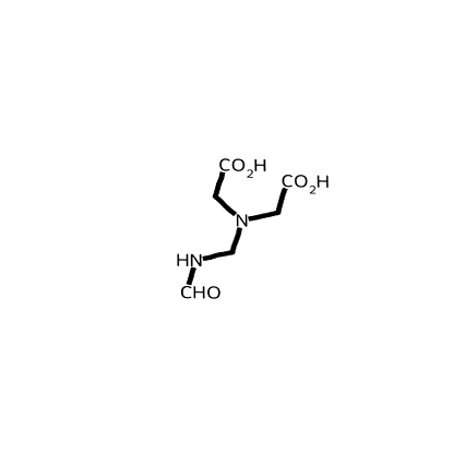 O=CNCN(CC(=O)O)CC(=O)O